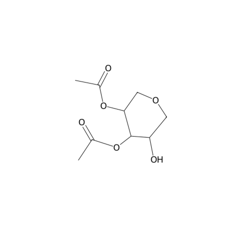 CC(=O)OC1COCC(O)C1OC(C)=O